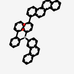 c1ccc(-c2ccccc2N(c2ccc(-c3cccc4c3ccc3c5ccccc5ccc43)cc2)c2ccc3ccc4ccccc4c3c2)cc1